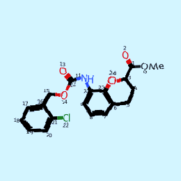 COC(=O)C1CCc2cccc(NC(=O)OCc3ccccc3Cl)c2O1